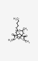 CCCCCCCC(C)(CC(C)(CC(C)C)C(=O)OC)C(=O)OC